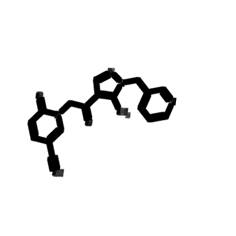 C#Cc1ccc(=O)n(CC(=O)c2cnn(Cc3cccnc3)c2C)c1